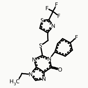 CCn1cnc2c(=O)n(-c3ccc(F)cc3)c(SCc3csc(C(F)(F)F)n3)nc21